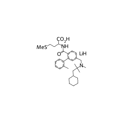 CSCCC(NC(=O)c1ccc(CN(C)C(C)(C)CC2CCCCC2)cc1-c1ccccc1C)C(=O)O.[LiH]